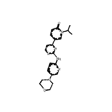 CC(C)n1cc(-c2ccnc(Nc3ccc(N4CCOCC4)cn3)n2)ccc1=O